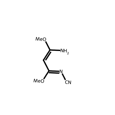 COC(N)=CC(=NC#N)OC